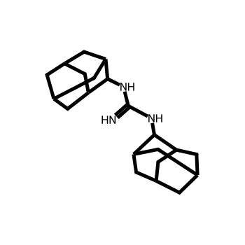 N=C(NC1C2CC3CC(C2)CC1C3)NC1C2CC3CC(C2)CC1C3